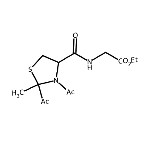 CCOC(=O)CNC(=O)C1CSC(C)(C(C)=O)N1C(C)=O